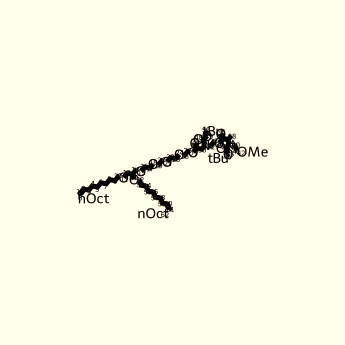 CCCCCCCC/C=C\CCCCCCCCOCC(COCCOCCOCCOCCOC(=O)CN(CCOC(=O)C(C)N(CCOC)C(=O)OC(C)(C)C)C(=O)OC(C)(C)C)OCCCCCCCC/C=C\CCCCCCCC